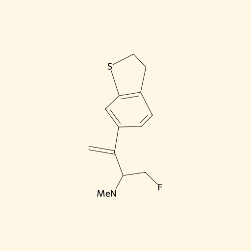 C=C(c1ccc2c(c1)SCC2)C(CF)NC